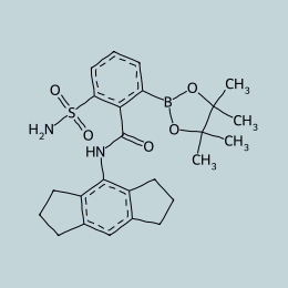 CC1(C)OB(c2cccc(S(N)(=O)=O)c2C(=O)Nc2c3c(cc4c2CCC4)CCC3)OC1(C)C